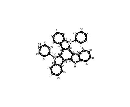 c1ccc(-n2c3ccccc3c3c4c(c5ccccc5n4-c4ccncc4)c4sc5ccccc5c4c32)cc1